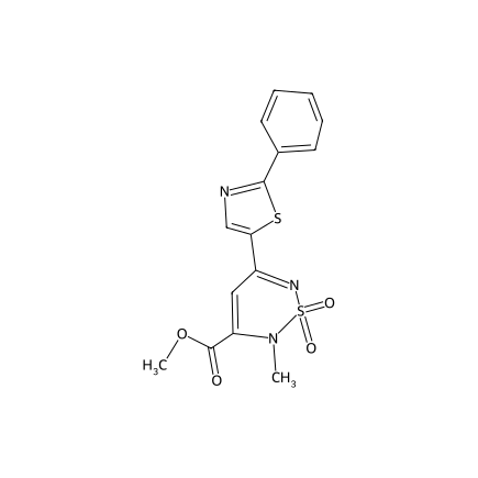 COC(=O)C1=CC(c2cnc(-c3ccccc3)s2)=NS(=O)(=O)N1C